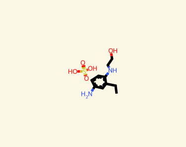 CCc1cc(N)ccc1NCCO.O=S(=O)(O)O